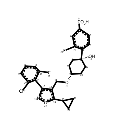 O=C(O)c1ccc([C@]2(O)CC[C@@H](OCc3c(-c4c(Cl)cccc4Cl)noc3C3CC3)CC2)c(F)c1